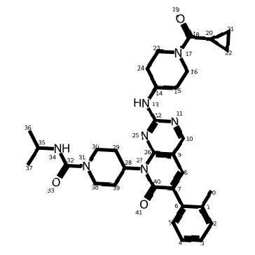 Cc1ccccc1-c1cc2cnc(NC3CCN(C(=O)C4CC4)CC3)nc2n(C2CCN(C(=O)NC(C)C)CC2)c1=O